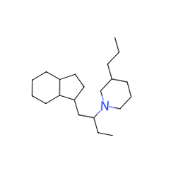 CCCC1CCCN(C(CC)CC2CCC3CCCCC32)C1